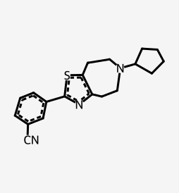 N#Cc1cccc(-c2nc3c(s2)CCN(C2CCCC2)CC3)c1